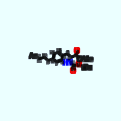 COC(=O)C(Cc1ccc(CCCC(C)=O)cc1)NC(=O)OC(C)(C)C